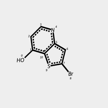 Oc1ccnc2cc(Br)sc12